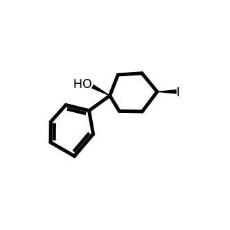 O[C@]1(c2ccccc2)CC[C@H](I)CC1